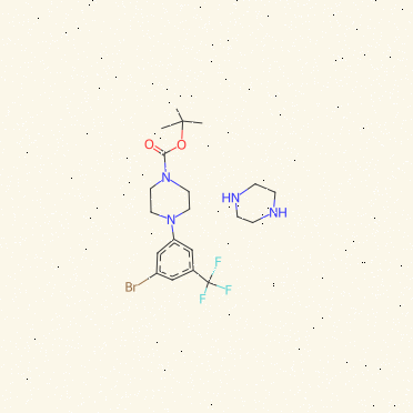 C1CNCCN1.CC(C)(C)OC(=O)N1CCN(c2cc(Br)cc(C(F)(F)F)c2)CC1